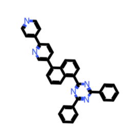 c1ccc(-c2nc(-c3ccccc3)nc(-c3cccc4c(-c5ccc(-c6ccncc6)nc5)cccc34)n2)cc1